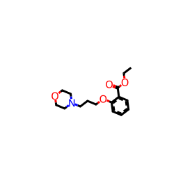 CCOC(=O)c1ccccc1OCCCN1CCOCC1